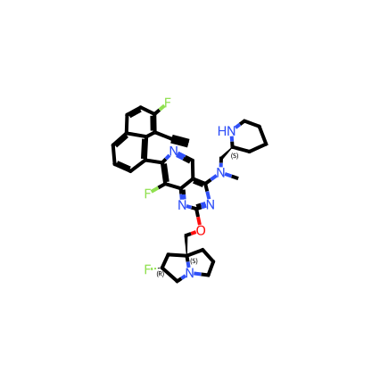 C#Cc1c(F)ccc2cccc(-c3ncc4c(N(C)C[C@@H]5CCCCN5)nc(OC[C@@]56CCCN5C[C@H](F)C6)nc4c3F)c12